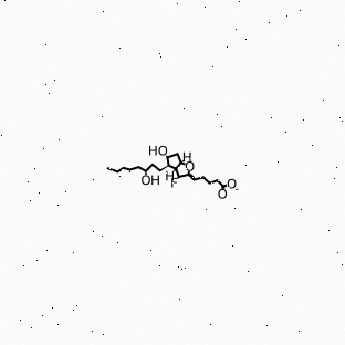 CCCCC[C@H](O)CC[C@@H]1[C@H]2[C@H](F)/C(=C/CCCC(=O)OC)O[C@@H]2C[C@H]1O